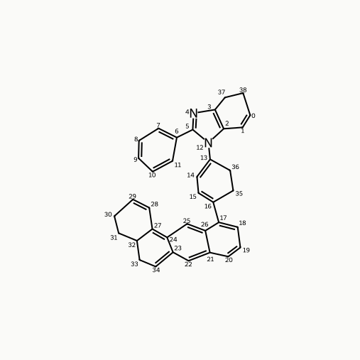 C1=Cc2c(nc(-c3ccccc3)n2C2=CC=C(c3cccc4cc5c(cc34)=C3C=CCCC3CC=5)CC2)CC1